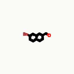 O=Cc1ccc2ccc(Br)cc2c1